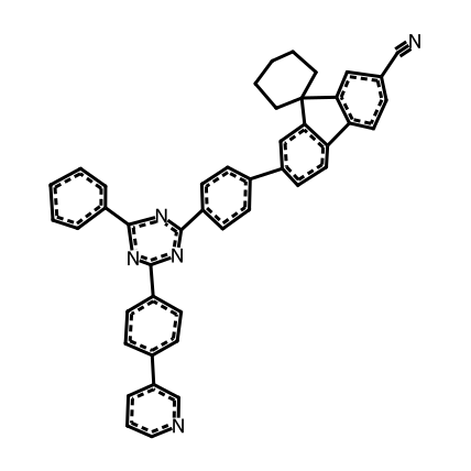 N#Cc1ccc2c(c1)C1(CCCCC1)c1cc(-c3ccc(-c4nc(-c5ccccc5)nc(-c5ccc(-c6cccnc6)cc5)n4)cc3)ccc1-2